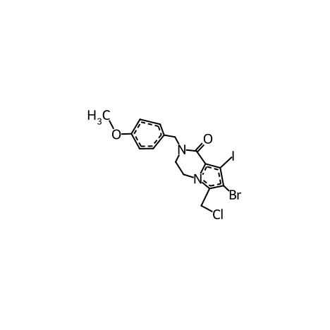 COc1ccc(CN2CCn3c(CCl)c(Br)c(I)c3C2=O)cc1